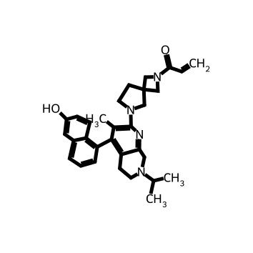 C=CC(=O)N1CC2(CCN(c3nc4c(c(-c5cccc6cc(O)ccc56)c3C)CCN(C(C)C)C4)C2)C1